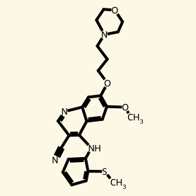 COc1cc2c(Nc3ccccc3SC)c(C#N)cnc2cc1OCCCN1CCOCC1